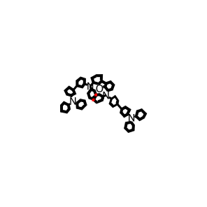 C1=CC(N(c2ccccc2)c2cccc3c2oc2c(N(c4ccccc4)c4cccc(-c5cccc(N(c6ccccc6)c6ccccc6)c5)c4)cccc23)CC=C1c1ccc(N(c2ccccc2)c2ccccc2)cc1